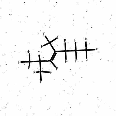 F/C(=C(/C(F)(F)F)C(F)(F)C(F)(F)C(F)(F)F)C(F)(C(F)(F)F)C(F)(F)F